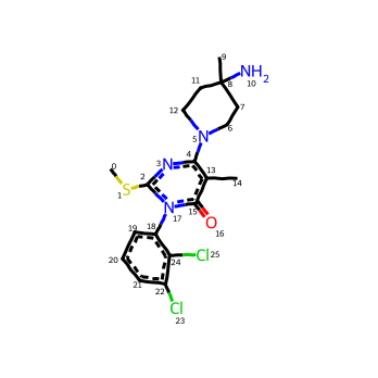 CSc1nc(N2CCC(C)(N)CC2)c(C)c(=O)n1-c1cccc(Cl)c1Cl